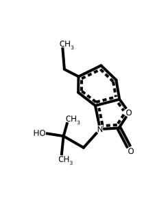 CCc1ccc2oc(=O)n(CC(C)(C)O)c2c1